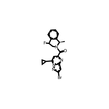 C[C@@H]1c2ccccc2C(F)CN1C(=O)c1cc(C2CC2)n2nc(Br)cc2n1